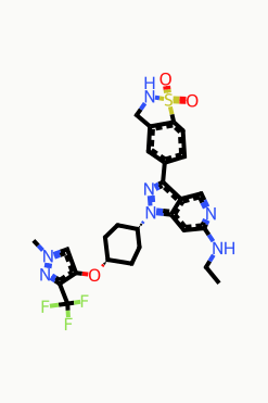 CCNc1cc2c(cn1)c(-c1ccc3c(c1)CNS3(=O)=O)nn2[C@H]1CC[C@@H](Oc2cn(C)nc2C(F)(F)F)CC1